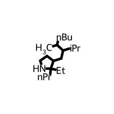 CCCCC(C)C(CC1CCNC1(CC)CCC)C(C)C